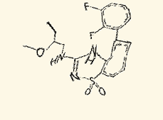 CO[C@@H](C)CNC1=NS(=O)(=O)c2cccc(-c3cccc(F)c3F)c2N1